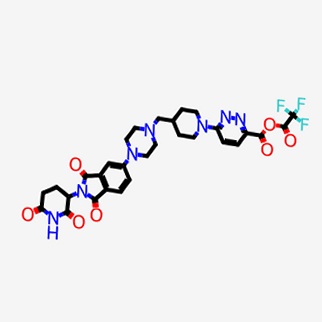 O=C1CCC(N2C(=O)c3ccc(N4CCN(CC5CCN(c6ccc(C(=O)OC(=O)C(F)(F)F)nn6)CC5)CC4)cc3C2=O)C(=O)N1